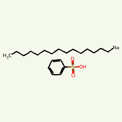 CCCCCCCCCCCCCC[CH2][Na].O=S(=O)(O)c1ccccc1